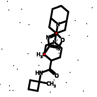 Cc1noc(N2C3CCCC2CC(N2CCC(C(=O)NC4(C)CCC4)CC2)C3)n1